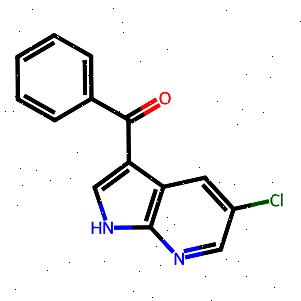 O=C(c1ccccc1)c1c[nH]c2ncc(Cl)cc12